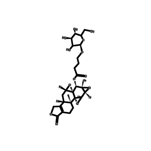 CC(C)[C@]12O[C@H]1[C@@H]1O[C@]13[C@]1(O[C@H]1C[C@H]1C4=C(CC[C@@]13C)C(=O)OC4)[C@@H]2OC(=O)CCCO[C@@H]1OC(CO)[C@@H](O)[C@H](O)C1O